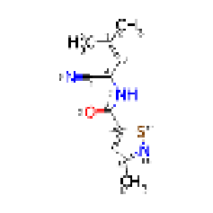 CC(C)=CC(C#N)NC(=O)c1cc(C)ns1